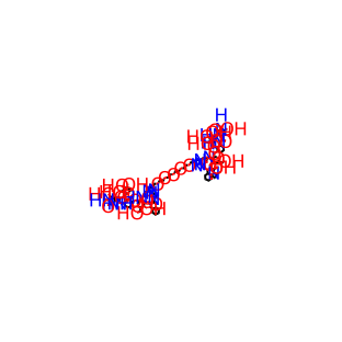 CC1O[C@@H](OC2C[C@H](O[C@@H]3OC(CO)[C@H](O)C(O[C@@H](CC4CCCCC4)C(=O)N4CCC4)C3NC(=O)Cn3cc(COCCOCCOCCOCCOCc4cn(CC(=O)NC5C(O[C@@H](CC6CCCCC6)C(=O)N6CCC6)[C@@H](O)C(CO)O[C@H]5O[C@@H]5CCCC(NC(=O)C6=CC(O)NC(=O)N6)C5O[C@@H]5OC(C)[C@@H](O)C(O)C5O)nn4)nn3)CCCC2NC(=O)C2=CC(O)NC(=O)N2)C(O)C(O)[C@@H]1O